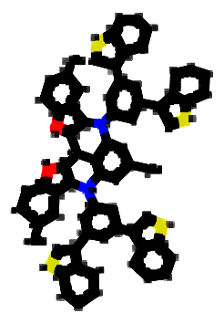 CC(C)(C)c1cc2c3c(c1)N(c1cc(-c4csc5ccccc45)cc(-c4csc5ccccc45)c1)c1c(oc4ccc(C(C)(C)C)cc14)B3c1oc3ccc(C(C)(C)C)cc3c1N2c1cc(-c2csc3ccccc23)cc(-c2csc3ccccc23)c1